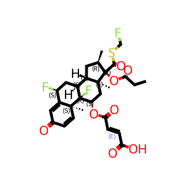 CCC(=O)O[C@]1(C(=O)SCF)[C@H](C)C[C@H]2[C@@H]3C[C@H](F)C4=CC(=O)C=C[C@]4(C)[C@@]3(F)[C@@H](OC(=O)/C=C/C(=O)O)C[C@@]21C